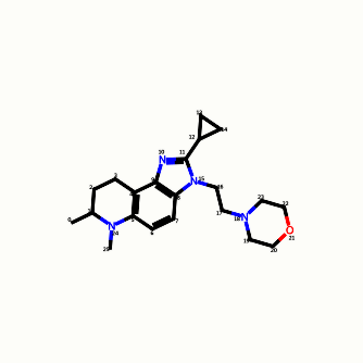 CC1CCc2c(ccc3c2nc(C2CC2)n3CCN2CCOCC2)N1C